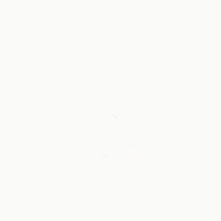 O=C(O)c1cn(Cc2ccccc2-c2cccc(C(F)(F)F)c2)c2cccnc2c1=O